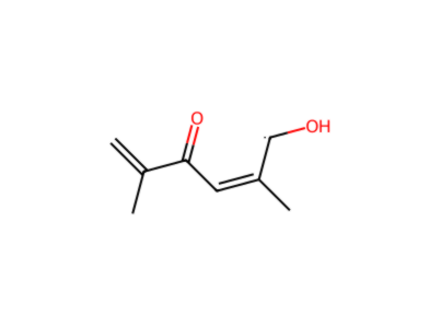 C=C(C)C(=O)C=C(C)[CH]O